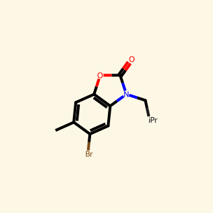 Cc1cc2oc(=O)n(CC(C)C)c2cc1Br